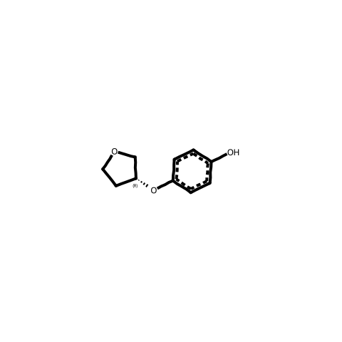 Oc1ccc(O[C@@H]2CCOC2)cc1